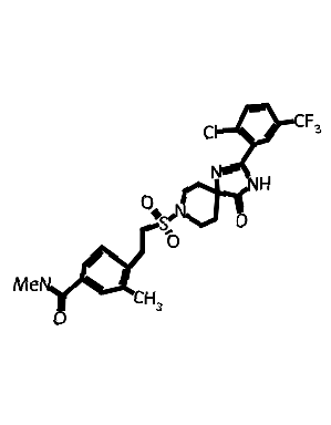 CNC(=O)c1ccc(CCS(=O)(=O)N2CCC3(CC2)N=C(c2cc(C(F)(F)F)ccc2Cl)NC3=O)c(C)c1